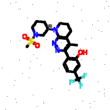 Cc1c(-c2ccc(C(F)(F)F)cc2O)nnc2c1CCCN2[C@@H]1CCCN(S(C)(=O)=O)C1